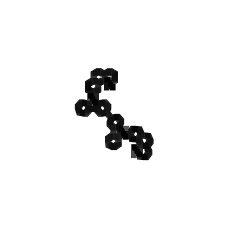 c1cnc2c(c1)ccc1ccc(-n3c4ccccc4c4cc(-c5ccc6c(c5)c5ccccc5n6-c5ccc6ccc7cccnc7c6c5)ccc43)cc12